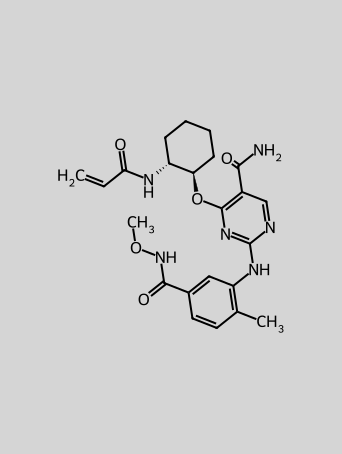 C=CC(=O)N[C@@H]1CCCC[C@H]1Oc1nc(Nc2cc(C(=O)NOC)ccc2C)ncc1C(N)=O